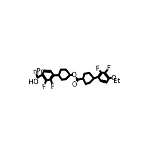 CCCC(O)c1ccc(C2CCC(OC(=O)C3CCC(c4ccc(OCC)c(F)c4F)CC3)CC2)c(F)c1F